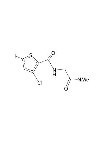 CNC(=O)CNC(=O)c1sc(I)cc1Cl